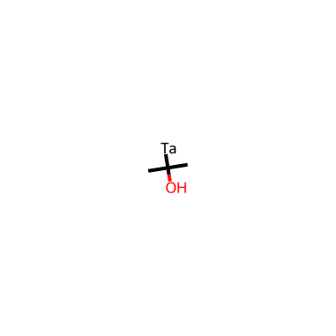 C[C](C)(O)[Ta]